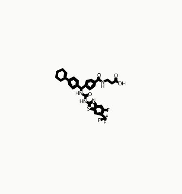 O=C(O)CCNC(=O)c1ccc(C(NC(=O)Nc2nc3cc(F)c(C(F)(F)F)cc3s2)c2ccc(C3=CCCCC3)cc2)cc1